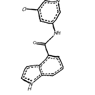 O=C(Nc1cncc(Cl)c1)c1cccc2[nH]ccc12